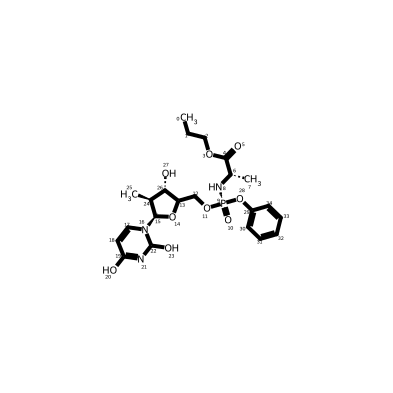 CCCOC(=O)[C@H](C)N[P@](=O)(OCC1O[C@@H](N2C=CC(O)=NC2O)[C@@H](C)[C@@H]1O)Oc1ccccc1